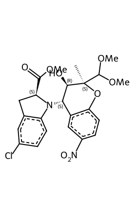 COC(=O)[C@@H]1Cc2cc(Cl)ccc2N1[C@H]1c2cc([N+](=O)[O-])ccc2O[C@](C)(C(OC)OC)[C@@H]1O